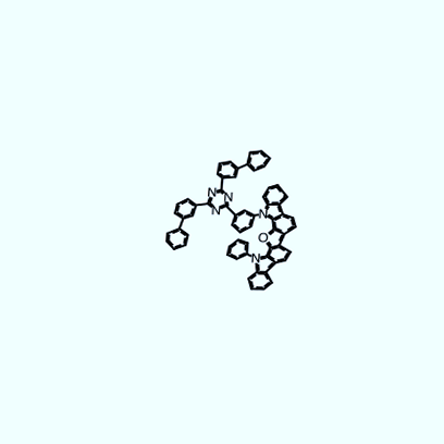 c1ccc(-c2cccc(-c3nc(-c4cccc(-c5ccccc5)c4)nc(-c4cccc(-n5c6ccccc6c6ccc7c8ccc9c%10ccccc%10n(-c%10ccccc%10)c9c8oc7c65)c4)n3)c2)cc1